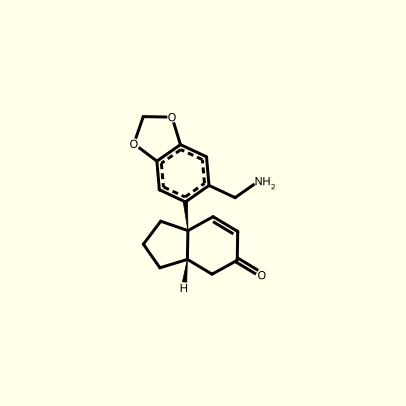 NCc1cc2c(cc1[C@@]13C=CC(=O)C[C@@H]1CCC3)OCO2